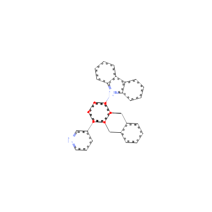 c1cncc(-c2cccc3c2C2c4ccccc4C3c3c2cccc3-n2c3ccccc3c3ccccc32)c1